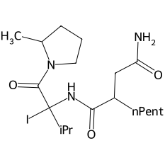 CCCCCC(CC(N)=O)C(=O)NC(I)(C(=O)N1CCCC1C)C(C)C